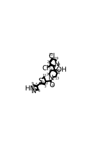 O=C(C1C=C(c2cn[nH]c2)SC1)N1CCC(O)(c2ncc(Cl)cc2Cl)CC1